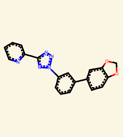 c1ccc(-c2nnn(-c3cccc(-c4ccc5c(c4)OCO5)c3)n2)nc1